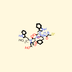 N[C@@H](CS)C(=O)N[C@@H](Cc1ccc(O)cc1)C(=O)N[C@@H](Cc1c[nH]c2ccccc12)C(=O)N[C@@H](Cc1ccc(O)cc1)C(=O)N[C@@H](Cc1c[nH]c2ccccc12)C(=O)O